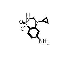 Nc1ccc2c(c1)N(C1CC1)CNS2(=O)=O